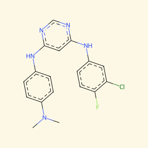 CN(C)c1ccc(Nc2cc(Nc3ccc(F)c(Cl)c3)ncn2)cc1